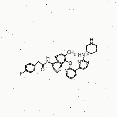 Cc1ccc2c(NC(=O)Cc3ccc(F)cc3)cccc2c1Oc1ncccc1-c1ccnc(N[C@H]2CCCNC2)n1